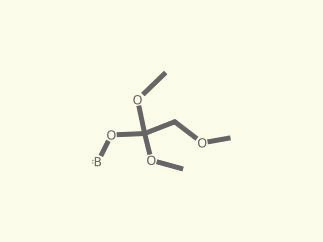 [B]OC(COC)(OC)OC